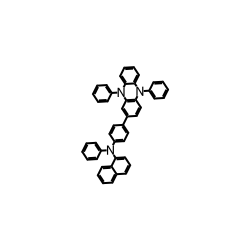 c1ccc(N2c3ccccc3N(c3ccccc3)c3cc(-c4ccc(N(c5ccccc5)c5cccc6ccccc56)cc4)ccc32)cc1